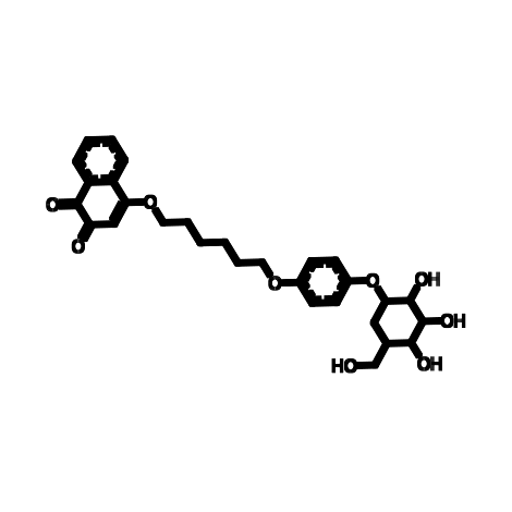 O=C1C=C(OCCCCCCOc2ccc(OC3CC(CO)C(O)C(O)C3O)cc2)c2ccccc2C1=O